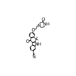 CC1(C)c2cc(OCCN3CCNC(=O)C3)ccc2C(=O)c2c1[nH]c1cc(C#N)ccc21